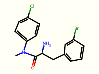 CN(C(=O)[C@@H](N)Cc1cccc(Br)c1)c1ccc(Cl)cc1